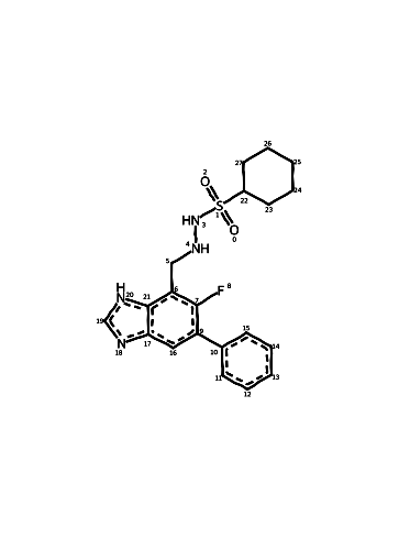 O=S(=O)(NNCc1c(F)c(-c2ccccc2)cc2nc[nH]c12)C1CCCCC1